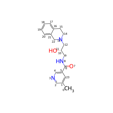 Cc1cncc(C(=O)NC[C@H](O)CN2CCc3ccccc3C2)c1